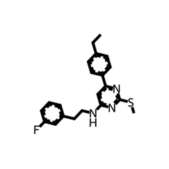 CCc1ccc(-c2cc(NCCc3cccc(F)c3)nc(SC)n2)cc1